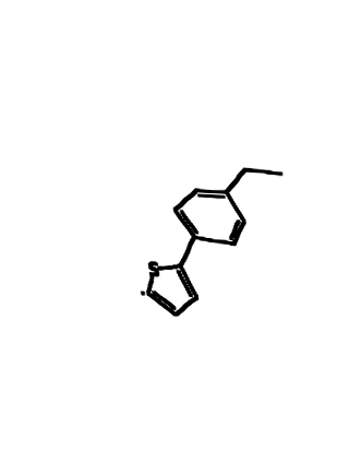 CCc1ccc(-c2cc[c]s2)cc1